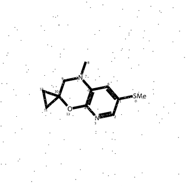 CSc1cnc2c(c1)N(C)CC1(CC1)O2